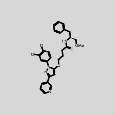 COC[C@H](Cc1ccccc1)NC(=O)CCCOc1cc(-c2cccnc2)nn1-c1ccc(Cl)c(Cl)c1